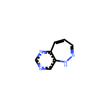 C1=Cc2ncncc2NN=C1